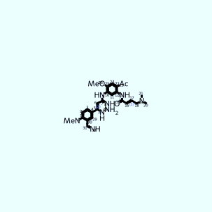 CNc1ccc(/C(=C/C(=N)Nc2cc(NC(=O)/C=C/CN(C)C)c(C(C)=O)cc2OC)NN)cc1C=N